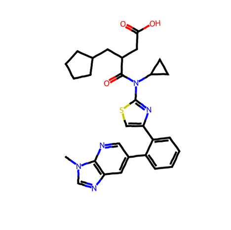 Cn1cnc2cc(-c3ccccc3-c3csc(N(C(=O)C(CC(=O)O)CC4CCCC4)C4CC4)n3)cnc21